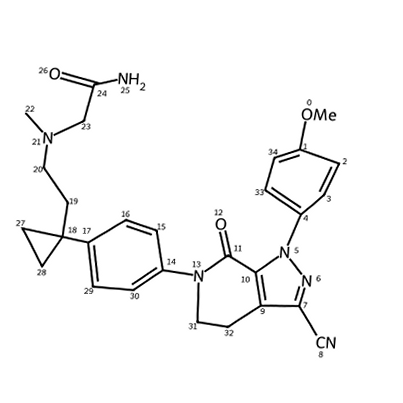 COc1ccc(-n2nc(C#N)c3c2C(=O)N(c2ccc(C4(CCN(C)CC(N)=O)CC4)cc2)CC3)cc1